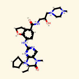 CC[C@@H]1C(=O)N(C)c2cnc(Nc3ccc(C(=O)NCC(O)CN4CCN(C)CC4)c4c3OCC4)nc2N1C1CCCC1